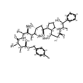 CC[C@H](C)C([C@@H](CC(=O)N1CCC[C@H]1[C@H](OC)[C@@H](C)C(=O)N[C@H](C)[C@@H](O)c1ccccc1)OC)N(C)C(=O)[C@@H](NC(=O)[C@H](C(C)C)N(C)C(=O)OCc1ccc(C)cc1)C(C)C